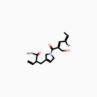 C=CC(CC1=CCN(C(=O)/C(=C/C(=C\C)C(C)C)CO)C1)C(=O)OC